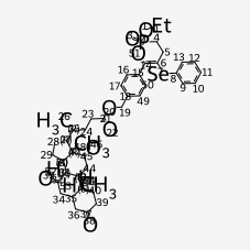 CCOP1(=O)CCC([Se]c2ccccc2)=C(c2ccc(COC(=O)CC[C@@H](C)[C@H]3CC[C@H]4[C@@H]5C(=O)CC6CC(=O)CC[C@]6(C)[C@H]5CC(=O)[C@]34C)cc2)O1